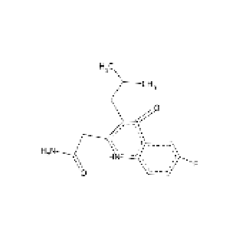 CC(C)Cc1c(CC(N)=O)[nH]c2ccc(F)cc2c1=O